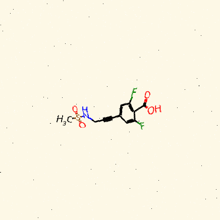 CS(=O)(=O)NCC#Cc1cc(F)c(C(=O)O)c(F)c1